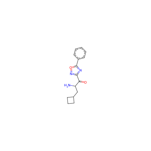 NC(CC1CCC1)C(=O)c1noc(-c2ccccc2)n1